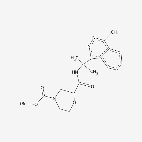 Cc1nnc(C(C)(C)NC(=O)C2CN(C(=O)OC(C)(C)C)CCO2)c2ccccc12